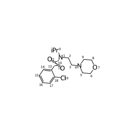 CC(C)N(CCN1CCOCC1)S(=O)(=O)c1c[c]ccc1Cl